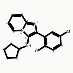 Clc1ccc(Cl)c(-c2nc3ccccn3c2NC2CCCC2)c1